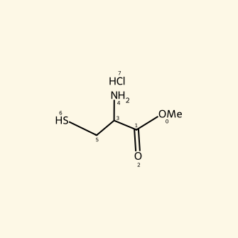 COC(=O)C(N)CS.Cl